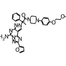 COCCOc1ccc(N2CCN(C(=O)[C@@](C)(c3ccccc3)n3cc4c(nc(N)n5nc(-c6ccco6)nc45)n3)CC2)cc1